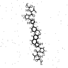 COC(=O)NC(C(=O)N1C[C@@H](C)CC1c1ncc(-c2ccc3c(c2)COc2cc4c(ccc5nc([C@@H]6CC[C@H](C)N6C(=O)C(NC(=O)OC)C(C)C)[nH]c54)cc2-3)[nH]1)C(C)C